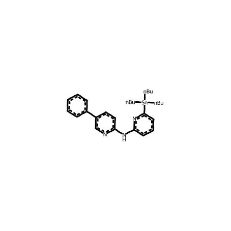 CCC[CH2][Sn]([CH2]CCC)([CH2]CCC)[c]1cccc(Nc2ccc(-c3ccccc3)cn2)n1